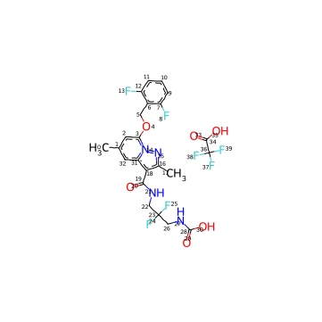 Cc1cc(OCc2c(F)cccc2F)n2nc(C)c(C(=O)NCC(F)(F)CNC(=O)O)c2c1.O=C(O)C(F)(F)F